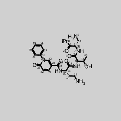 CC(C)C(=O)[C@H](CN)NC(=O)[C@@H](NC(=O)[C@H](CCN)NC(=O)c1ccc(=O)n(-c2ccccc2)c1)C(C)O